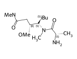 CC[C@H](C)[C@@H]([C@@H](CC(=O)NC)OC)N(C)C(=O)[C@H](C)N